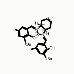 Cc1cc(C=[N+]2[Co][N+](=Cc3cc(C)cc(C(C)(C)C)c3O)[C@@H]3CCCC[C@H]32)c(O)c(C(C)(C)C)c1.[Cl-]